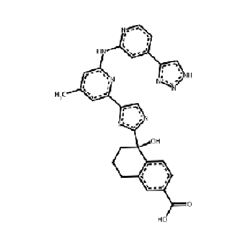 Cc1cc(Nc2cc(-c3c[nH]nn3)ccn2)nc(-c2cnc([C@@]3(O)CCCc4cc(C(=O)O)ccc43)s2)c1